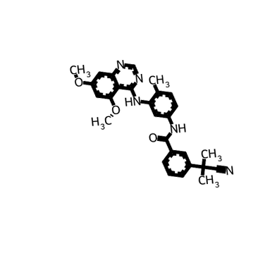 COc1cc(OC)c2c(Nc3cc(NC(=O)c4cccc(C(C)(C)C#N)c4)ccc3C)ncnc2c1